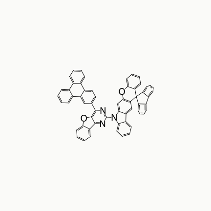 c1ccc2c(c1)Oc1cc3c(cc1C21c2ccccc2-c2ccccc21)c1ccccc1n3-c1nc(-c2ccc3c4ccccc4c4ccccc4c3c2)c2oc3ccccc3c2n1